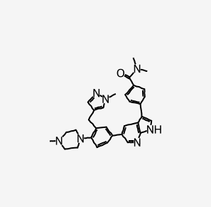 CN1CCN(c2ccc(-c3cnc4[nH]cc(-c5ccc(C(=O)N(C)C)cc5)c4c3)cc2Cc2cnn(C)c2)CC1